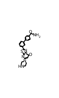 NC(=O)c1ccc(-c2cccc(-c3nn4c(=O)cc(N5CCNCC5)nc4s3)c2)cc1